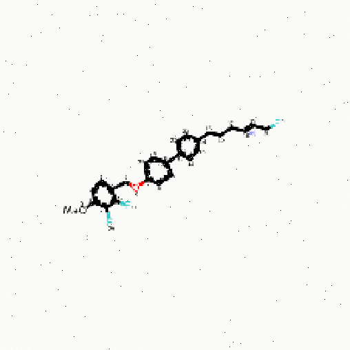 COc1ccc(COc2ccc(-c3ccc(CCC/C=C/CF)cc3)cc2)c(F)c1F